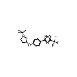 CC(=O)N1CCC(Oc2ccc(-c3noc(C(F)(F)F)n3)cc2)C1